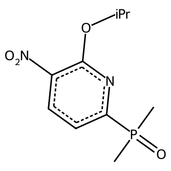 CC(C)Oc1nc(P(C)(C)=O)ccc1[N+](=O)[O-]